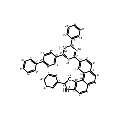 C1=CC(C2Nc3ccc4ccc5ccc(C6=NC(c7ccccc7)NC(c7ccc(-c8ccccc8)cc7)=N6)cc5c4c3O2)=CCC1